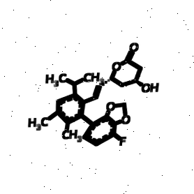 Cc1cc(C(C)C)c(C=C[C@H]2C[C@H](O)CC(=O)O2)c(-c2ccc(F)c3c2OCO3)c1C